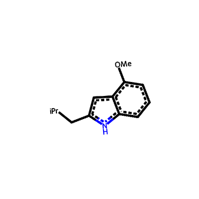 COc1cccc2[nH]c(CC(C)C)cc12